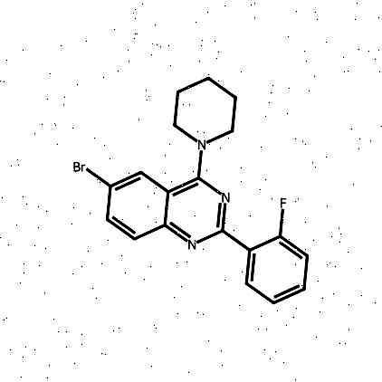 Fc1ccccc1-c1nc(N2CCCCC2)c2cc(Br)ccc2n1